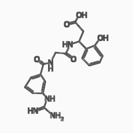 N=C(N)Nc1cccc(C(=O)NCC(=O)NC(CC(=O)O)c2ccccc2O)c1